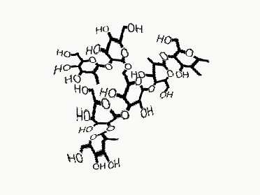 CC1OC(CO)C(OC2OC(CO)C(OC3OC(COC4OC(CO)C(O)C(O)C4OC4OC(CO)C(O)C(O)C4C)C(O)C(OC4OC(CO)C(O)C(O)C4OC4OC(CO)C(O)C(O)C4C)C3O)C(O)C2C)C(O)C1C